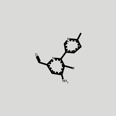 Cc1ccc(-c2nc(C=O)cc(N)c2F)cn1